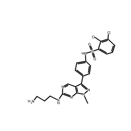 Cn1nc(-c2ccc(NS(=O)(=O)c3cccc(Cl)c3Cl)cc2)c2cnc(NCCCN)nc21